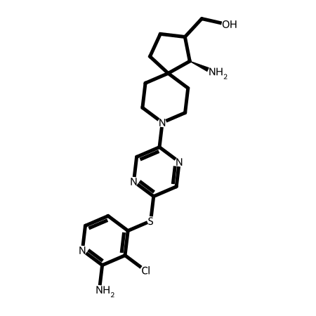 Nc1nccc(Sc2cnc(N3CCC4(CCC(CO)[C@H]4N)CC3)cn2)c1Cl